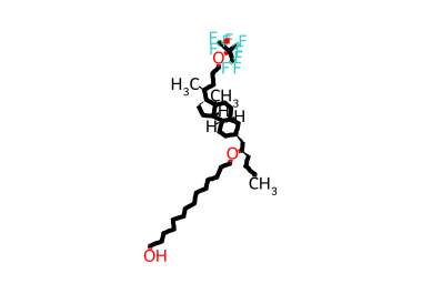 CCCC[C@H](C[C@H]1CC[C@@H]2[C@H](CC[C@]3(C)[C@@H]([C@H](C)CCCOC(C(F)(F)F)(C(F)(F)F)C(F)(F)F)CC[C@@H]23)C1)OCCCCCCCCCCCCCCO